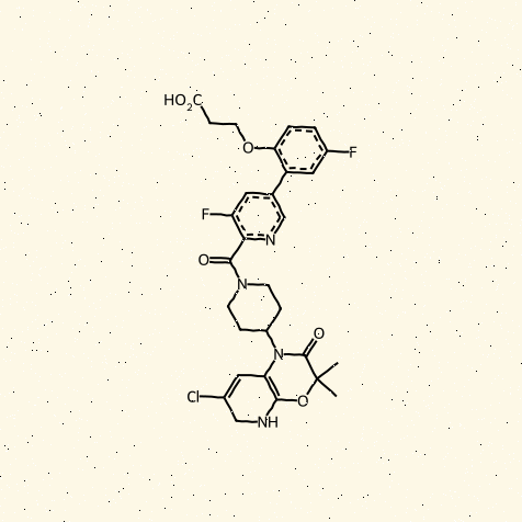 CC1(C)OC2=C(C=C(Cl)CN2)N(C2CCN(C(=O)c3ncc(-c4cc(F)ccc4OCCC(=O)O)cc3F)CC2)C1=O